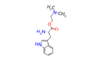 CN(C)CCOC(=O)[C@@H](N)Cc1c[nH]c2ccccc12